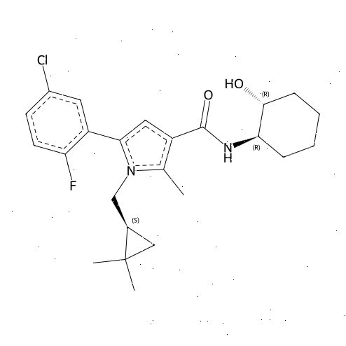 Cc1c(C(=O)N[C@@H]2CCCC[C@H]2O)cc(-c2cc(Cl)ccc2F)n1C[C@H]1CC1(C)C